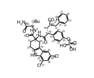 CCC(C)[C@H](NC(=O)[C@@]1(NC(=O)[C@H](CN(Cc2ccccc2)C(=O)O)c2ccc(OP(=O)(O)O)cc2)CCc2[nH]c3c(Cl)cc(Cl)cc3c2C1)C(N)=O